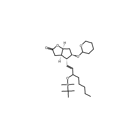 CCCCCC(/C=C/[C@@H]1[C@H]2CC(=O)O[C@H]2C[C@H]1OC1CCCCO1)O[Si](C)(C)C(C)(C)C